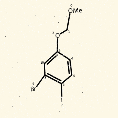 COCOc1ccc(I)c(Br)c1